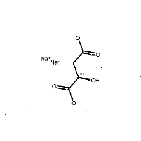 O=C([O-])C[C@@H](O)C(=O)[O-].[Na+].[Na+]